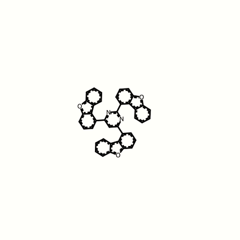 c1ccc2c(c1)oc1cccc(-c3cc(-c4cccc5oc6ccccc6c45)nc(-c4cccc5oc6ccccc6c45)n3)c12